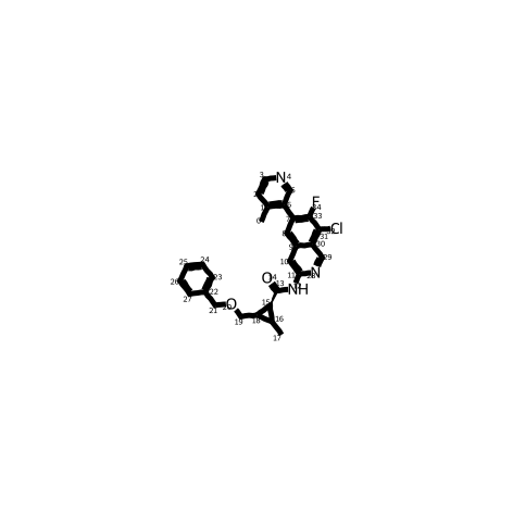 Cc1ccncc1-c1cc2cc(NC(=O)[C@H]3C(C)C3COCc3ccccc3)ncc2c(Cl)c1F